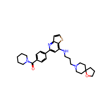 O=C(c1ccc(-c2cc(NCCCN3CCC4(CCCO4)CC3)c3sccc3n2)cc1)N1CCCCC1